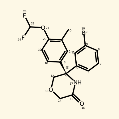 Cc1cc([C@]2(c3cccc(Br)c3)COCC(=O)N2)ccc1OC(F)F